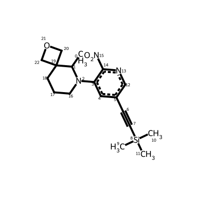 CC1N(c2cc(C#C[Si](C)(C)C)cnc2[N+](=O)[O-])CCCC12COC2